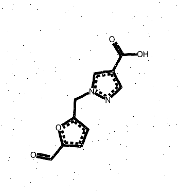 O=Cc1ccc(Cn2cc(C(=O)O)cn2)o1